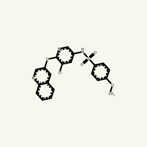 COc1ccc(S(=O)(=O)Nc2cnc(Oc3cnc4ccccc4c3)c(Cl)c2)cc1